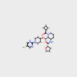 O=C(N[C@@H]1CCCN(C(=O)C2CCC2)[C@@H]1COC1CCN(c2ncc(F)cn2)CC1)[C@@H]1CCCO1